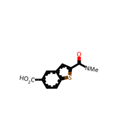 CNC(=O)c1cc2cc(C(=O)O)ccc2s1